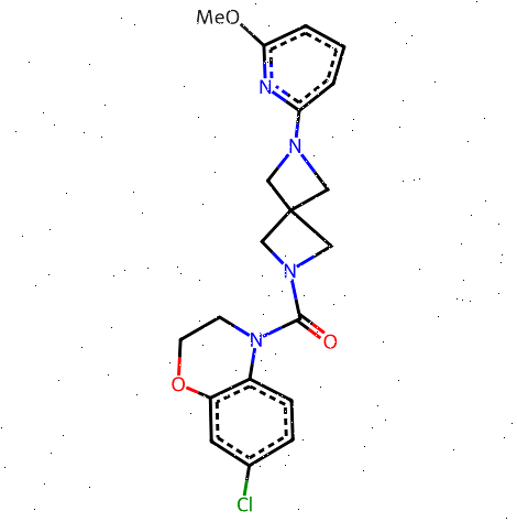 COc1cccc(N2CC3(CN(C(=O)N4CCOc5cc(Cl)ccc54)C3)C2)n1